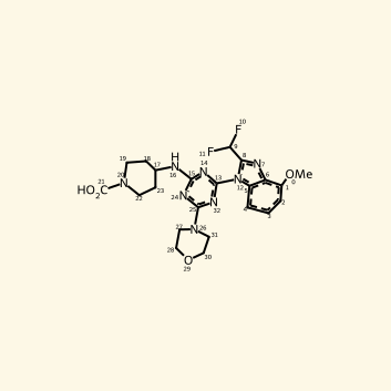 COc1cccc2c1nc(C(F)F)n2-c1nc(NC2CCN(C(=O)O)CC2)nc(N2CCOCC2)n1